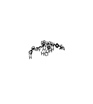 Cc1ncsc1-c1ccc([C@H](C)NC(=O)[C@@H]2C[C@@H](O)CN2C(=O)[C@@H](NC(=O)CCCCNC(=O)C2CCNCC2)C(C)(C)C)cc1.Cl